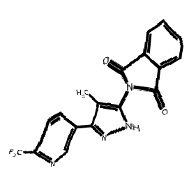 Cc1c(-c2ccc(C(F)(F)F)nc2)n[nH]c1N1C(=O)c2ccccc2C1=O